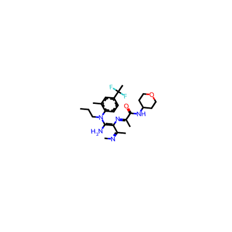 CCCN(/C(N)=C(\N=C(/C)C(=O)NC1CCOCC1)C(/C)=N\C)c1ccc(C(C)(F)F)cc1C